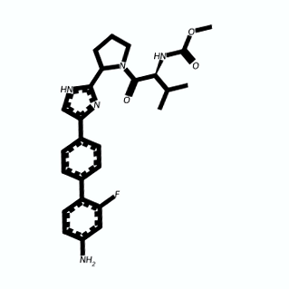 COC(=O)N[C@H](C(=O)N1CCCC1c1nc(-c2ccc(-c3ccc(N)cc3F)cc2)c[nH]1)C(C)C